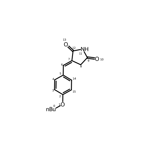 CCCCOc1ccc(/C=C2\CC(=O)NC2=O)cc1